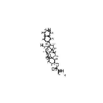 CNC(=O)OC1CCC2=CC3=CC[C@]4(C)C(c5ccc6ccncc6c5)CC[C@H]4[C@@]34CC[C@]2(C1)O4